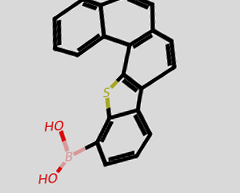 OB(O)c1cccc2c1sc1c2ccc2ccc3ccccc3c21